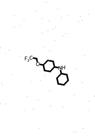 FC(F)(F)COC1CCC(NC2CCCCC2)CC1